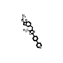 COC1=CC2C=C(Cc3nc(-c4ccc(-c5ccncc5)cc4)oc3C)C=C[C@@H]12